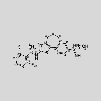 C=C(Nc1nc2c(s1)-c1ccc(C(=N)NO)cc1CCC2)c1c(F)cccc1F